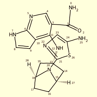 NC(=O)c1cnc2[nH]ccc2c1N[C@@H]1C[C@H]2CC[C@@H](C1)N2c1ncc(N)s1